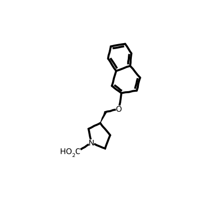 O=C(O)N1CC[C@H](COc2ccc3ccccc3c2)C1